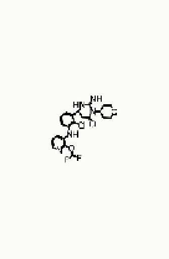 C[C@@]1(c2cccc(Nc3cccnc3OC(F)F)c2Cl)CC(=O)N(C2CCOCC2)C(=N)N1